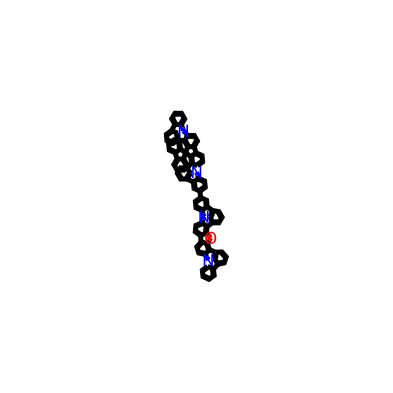 c1ccc2c(c1)-c1ccccc1C21c2c(ccc3c2c2cccc4c5ccccc5n3c42)-c2ccc3c(c21)c1cccc2c4cc(-c5ccc6c(c5)c5cccc7c8c9oc%10c(ccc%11c%10c%10cccc%12c%13ccccc%13n%11c%12%10)c9ccc8n6c57)ccc4n3c21